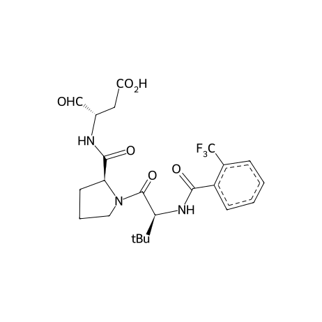 CC(C)(C)[C@H](NC(=O)c1ccccc1C(F)(F)F)C(=O)N1CCC[C@H]1C(=O)N[C@H](C=O)CC(=O)O